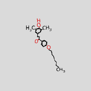 CCCCCCCCCOc1ccc(C(=O)C=Cc2cc(C)c(O)c(C)c2)cc1